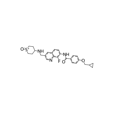 O=C(Nc1ccc2cc(CNC3CC[S+]([O-])CC3)cnc2c1F)c1ccc(OCC2CC2)cc1